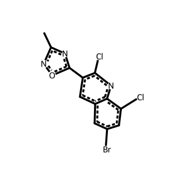 Cc1noc(-c2cc3cc(Br)cc(Cl)c3nc2Cl)n1